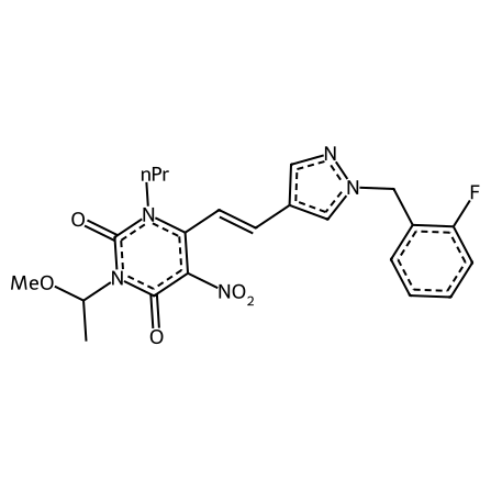 CCCn1c(C=Cc2cnn(Cc3ccccc3F)c2)c([N+](=O)[O-])c(=O)n(C(C)OC)c1=O